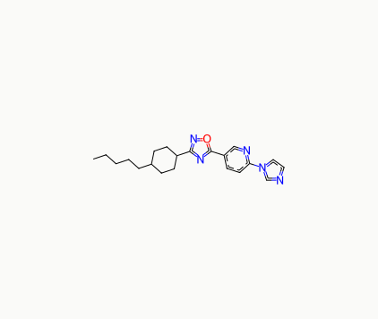 CCCCCC1CCC(c2noc(-c3ccc(-n4ccnc4)nc3)n2)CC1